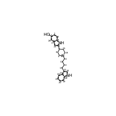 Oc1ccc2[nH]c(C3CCN(CCCCc4c[nH]c5ccccc45)CC3)cc2c1